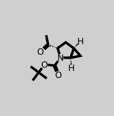 CC(=O)[C@@H]1C[C@H]2C[C@H]2N1C(=O)OC(C)(C)C